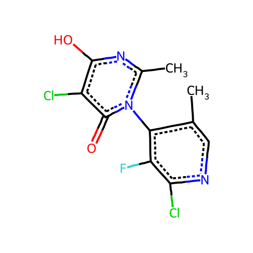 Cc1cnc(Cl)c(F)c1-n1c(C)nc(O)c(Cl)c1=O